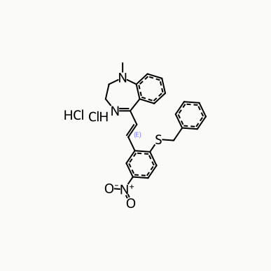 CN1CCN=C(/C=C/c2cc([N+](=O)[O-])ccc2SCc2ccccc2)c2ccccc21.Cl.Cl